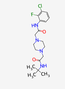 CC(C)(C)NC(=O)CN1CCN(CC(=O)Nc2cccc(Cl)c2F)CC1